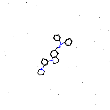 C(=NN(c1ccccc1)c1ccccc1)c1ccc2c(c1)CCCN2c1cccc(N2CCCCC2)c1